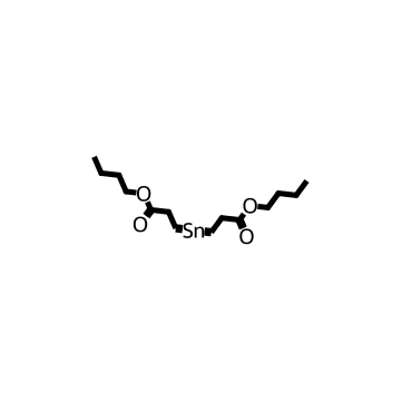 CCCCOC(=O)C[CH]=[Sn]=[CH]CC(=O)OCCCC